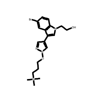 C[Si](C)(C)CCCOn1cc(-c2cn(CCO)c3ccc(Br)cc23)cn1